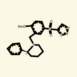 COc1ccc(S(=O)(=O)c2cnns2)cc1CN1CCC[CH][C@H]1c1ccccc1